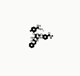 Cc1ccc(C(=N)N)cc1OC1=C2NC(=O)C(Cc3ccccc3)N=C2NC(Oc2cccc(C(=O)N(C)C)c2)=N1